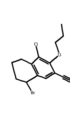 CCCOc1c(C#N)cc2c(c1Cl)CCCC2Br